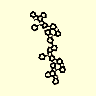 c1ccc(-n2c3ccc(-c4ccc5oc6cccc(-n7c8ccccc8c8c9ccccc9c9c%10ccccc%10sc9c87)c6c5c4)cc3c3c4cccc(-c5ccc6c7ccccc7n(-c7cccc8oc9ccc(-c%10ccc%11c(c%10)c%10c%12ccccc%12c%12c%13ccccc%13sc%12c%10n%11-c%10ccccc%10)cc9c78)c6c5)c4ccc32)cc1